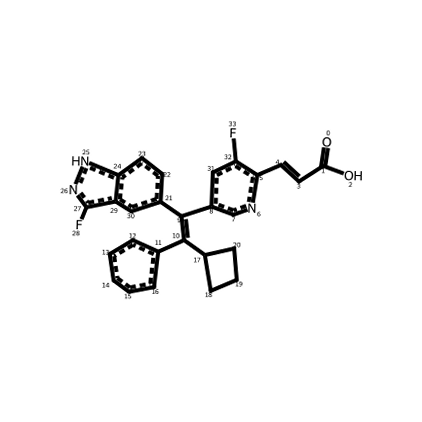 O=C(O)C=Cc1ncc(C(=C(c2ccccc2)C2CCC2)c2ccc3[nH]nc(F)c3c2)cc1F